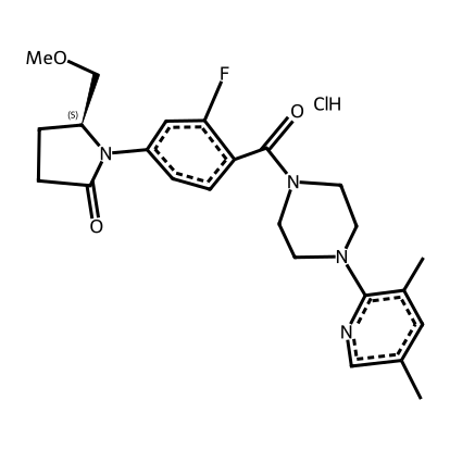 COC[C@@H]1CCC(=O)N1c1ccc(C(=O)N2CCN(c3ncc(C)cc3C)CC2)c(F)c1.Cl